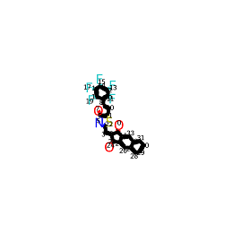 O=C1C(=Cc2nc3oc(-c4c(F)c(F)c(F)c(F)c4F)cc3s2)C(=O)c2cc3ccccc3cc21